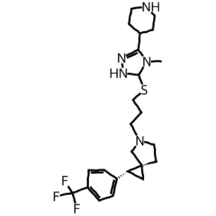 CN1C(C2CCNCC2)=NNC1SCCCN1CC[C@]2(C[C@@H]2c2ccc(C(F)(F)F)cc2)C1